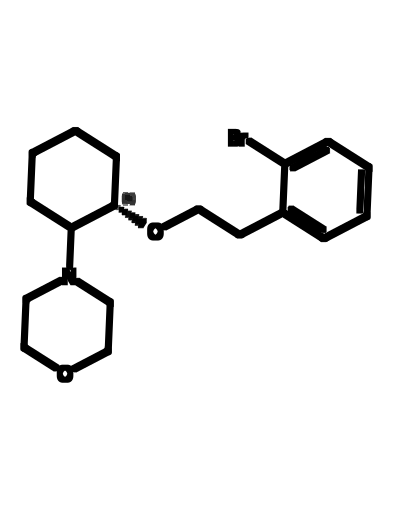 Brc1ccccc1CCO[C@H]1CCCCC1N1CCOCC1